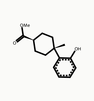 COC(=O)[C@H]1CC[C@](C)(c2ccccc2O)CC1